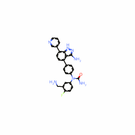 NCc1cc(N(C(N)=O)c2ccc(-c3ccc(-c4cccnc4)c4[nH]nc(N)c34)cc2)ccc1F